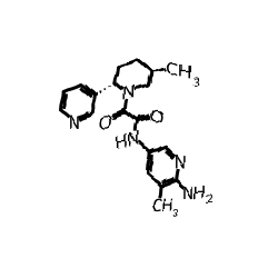 Cc1cc(NC(=O)C(=O)N2C[C@H](C)CC[C@H]2c2cccnc2)cnc1N